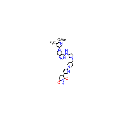 COc1ncc(N2CCc3ncnc(N[C@H]4CCN(CC5CCN(c6ccc(C7CCC(=O)NC7=O)cn6)CC5)C4)c3C2)cc1C(F)(F)F